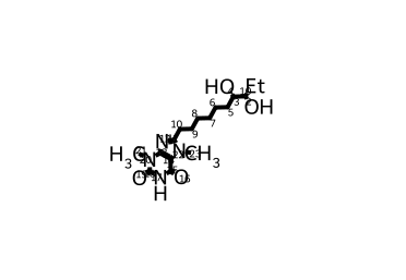 CCC(O)C(O)CCCCCCc1nc2c(c(=O)[nH]c(=O)n2C)n1C